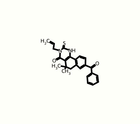 C=CCn1c(=S)[nH]c2c(c1=O)C(C)(C)Cc1cc(C(=O)c3ccccc3)ccc1-2